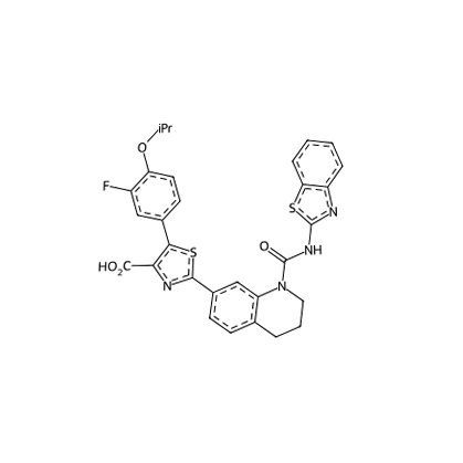 CC(C)Oc1ccc(-c2sc(-c3ccc4c(c3)N(C(=O)Nc3nc5ccccc5s3)CCC4)nc2C(=O)O)cc1F